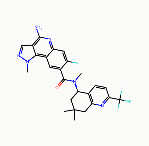 CN(C(=O)c1cc2c(cc1F)nc(N)c1cnn(C)c12)[C@@H]1CC(C)(C)Cc2nc(C(F)(F)F)ccc21